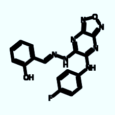 Oc1ccccc1C=NNc1nc2nonc2nc1Nc1ccc(F)cc1